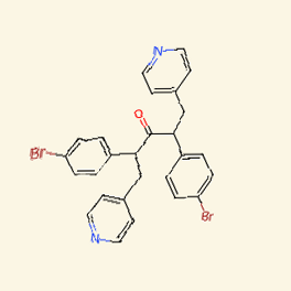 O=C(C(Cc1ccncc1)c1ccc(Br)cc1)C(Cc1ccncc1)c1ccc(Br)cc1